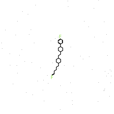 FC=CCCCCC1CCC(CCC2CCC(c3ccc(F)cc3)CC2)CC1